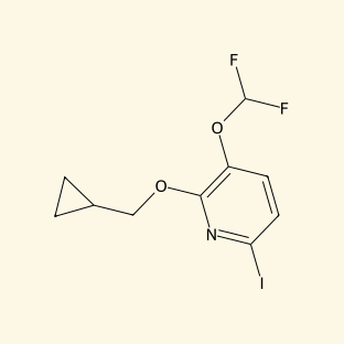 FC(F)Oc1ccc(I)nc1OCC1CC1